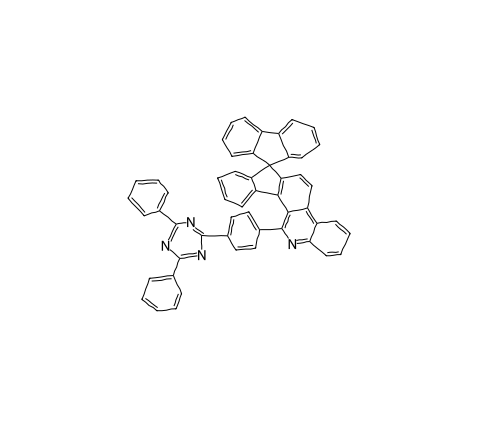 c1ccc(-c2nc(-c3ccccc3)nc(-c3ccc(-c4nc5ccccc5c5ccc6c(c45)-c4ccccc4C64c5ccccc5-c5ccccc54)cc3)n2)cc1